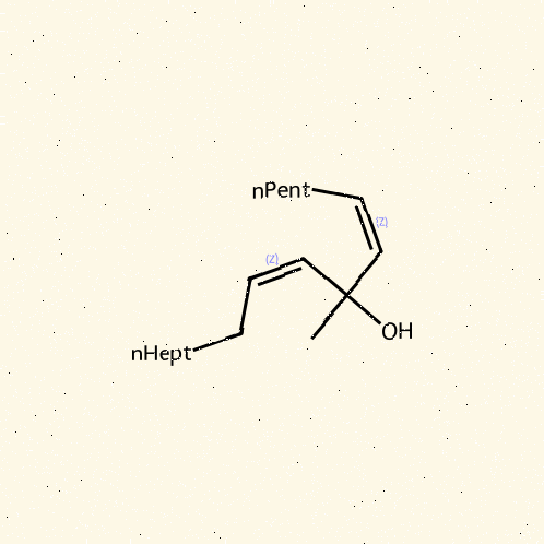 CCCCC/C=C\C(C)(O)/C=C\CCCCCCCC